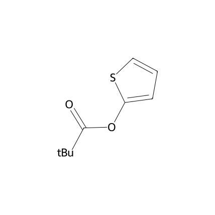 CC(C)(C)C(=O)Oc1cccs1